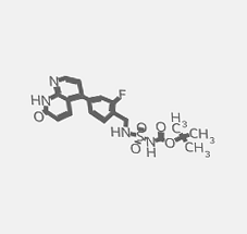 CC(C)(C)OC(=O)NS(=O)(=O)NCc1ccc(-c2ccnc3[nH]c(=O)ccc23)cc1F